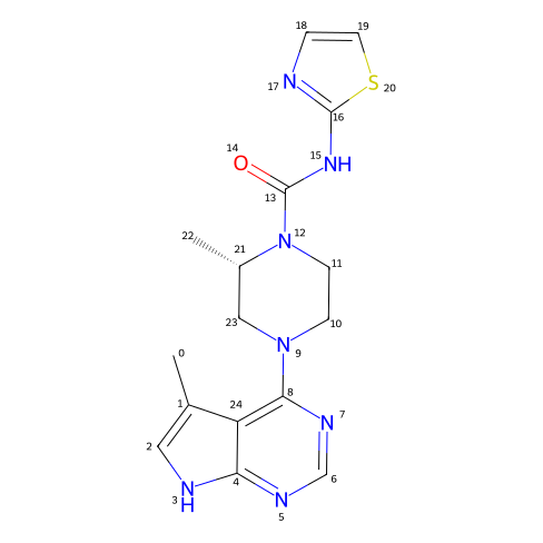 Cc1c[nH]c2ncnc(N3CCN(C(=O)Nc4nccs4)[C@@H](C)C3)c12